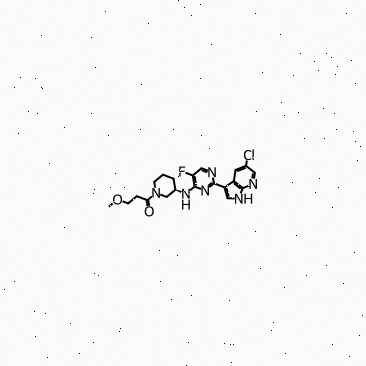 COCCC(=O)N1CCC[C@@H](Nc2nc(-c3c[nH]c4ncc(Cl)cc34)ncc2F)C1